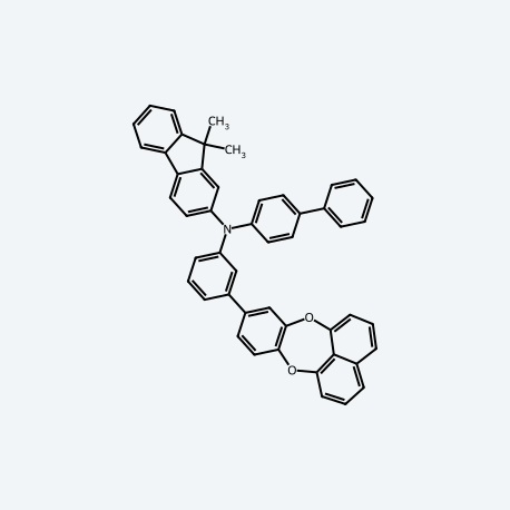 CC1(C)c2ccccc2-c2ccc(N(c3ccc(-c4ccccc4)cc3)c3cccc(-c4ccc5c(c4)Oc4cccc6cccc(c46)O5)c3)cc21